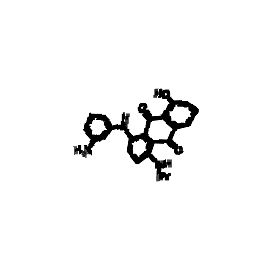 CC(C)Nc1ccc(Nc2cccc(N)c2)c2c1C(=O)c1cccc(O)c1C2=O